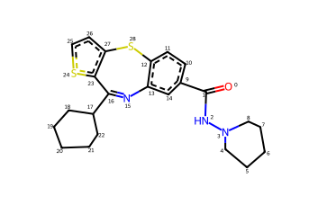 O=C(NN1CCCCC1)c1ccc2c(c1)N=C(C1CCCCC1)c1sccc1S2